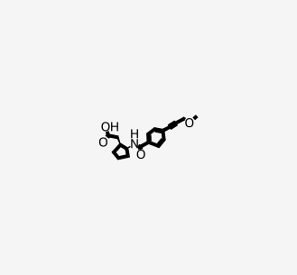 COCC#Cc1ccc(C(=O)N[C@@H]2CCC[C@H]2CC(=O)O)cc1